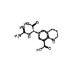 N=C(N)NC(C(=O)O)c1cc2c(c(C(=O)O)c1)NCCC2